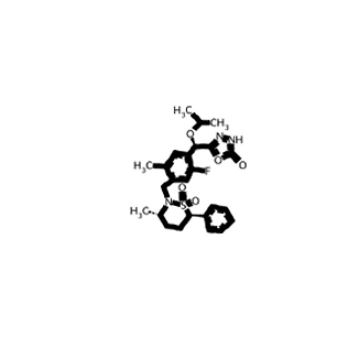 Cc1cc([C@@H](OC(C)C)c2n[nH]c(=O)o2)c(F)cc1CN1[C@@H](C)CC[C@H](c2ccccc2)S1(=O)=O